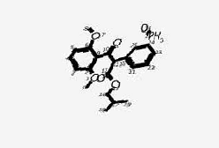 COc1cccc(OC)c1C(=O)C(C(=O)OCC(C)C)c1ccccc1.O=[PH3]